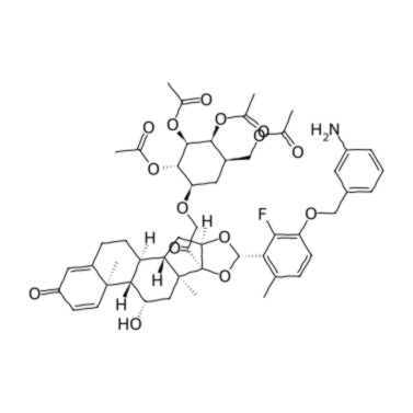 CC(=O)OC[C@H]1C[C@@H](OCC(=O)[C@@]23O[C@@H](c4c(C)ccc(OCc5cccc(N)c5)c4F)O[C@@H]2C[C@H]2[C@@H]4CCC5=CC(=O)C=C[C@]5(C)[C@H]4[C@@H](O)C[C@@]23C)[C@H](OC(C)=O)[C@@H](OC(C)=O)[C@H]1OC(C)=O